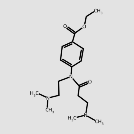 CCOC(=O)c1ccc(N(CCN(C)C)C(=O)CCN(C)C)cc1